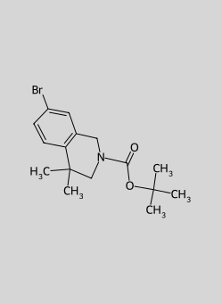 CC(C)(C)OC(=O)N1Cc2cc(Br)ccc2C(C)(C)C1